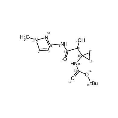 Cn1ccc(NC(=O)C(O)C2(NC(=O)OC(C)(C)C)CC2)n1